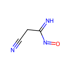 N#CCC(=N)N=O